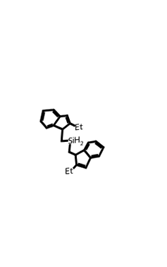 CCC1=Cc2ccccc2C1C[SiH2]CC1C(CC)=Cc2ccccc21